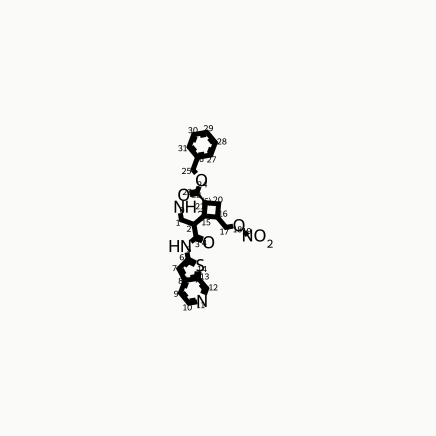 NCC(C(=O)Nc1cc2ccncc2s1)C1C(CO[N+](=O)[O-])C[C@@H]1C(=O)OCc1ccccc1